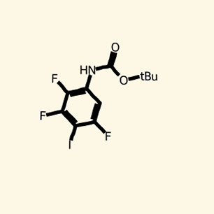 CC(C)(C)OC(=O)Nc1cc(F)c(I)c(F)c1F